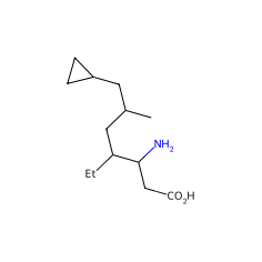 CCC(CC(C)CC1CC1)C(N)CC(=O)O